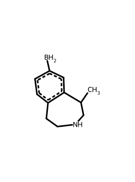 Bc1ccc2c(c1)C(C)CNCC2